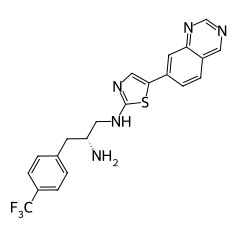 N[C@@H](CNc1ncc(-c2ccc3cncnc3c2)s1)Cc1ccc(C(F)(F)F)cc1